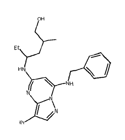 CCC(CC(C)CO)Nc1cc(NCc2ccccc2)n2ncc(C(C)C)c2n1